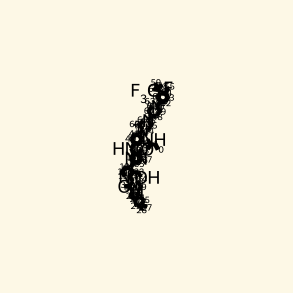 C=CC(=O)Nc1cc(Nc2nc(-c3ccnc(N4CCn5c(cc6c5CC(C)(C)C6)C4=O)c3CO)cn(C)c2=O)ccc1N1CCN(C2CCN(c3ccc(F)c(C(C)(C)C(F)(F)F)c3)[C@@H](C)C2)C[C@@H]1C